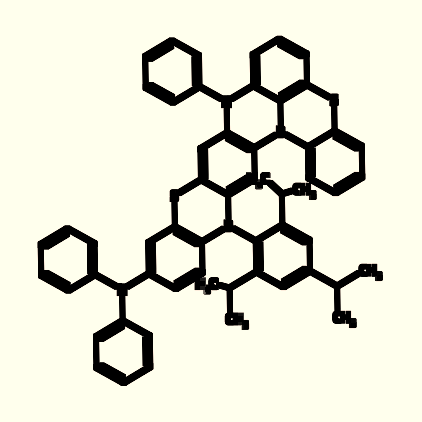 CC(C)c1cc(C(C)C)c(B2c3ccc(N(c4ccccc4)c4ccccc4)cc3Sc3cc4c(cc32)B2c3ccccc3Sc3cccc(c32)N4c2ccccc2)c(C(C)C)c1